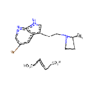 CC1CCN1CCc1c[nH]c2ncc(Br)cc12.O=C(O)/C=C/C(=O)O